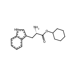 N[C@@H](Cc1c[nH]c2ccccc12)C(=O)OC1CCCCC1